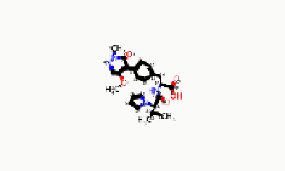 COc1cnn(C)c(=O)c1-c1ccc(C[C@H](NC(=O)[C@@H](C(C)C)n2cccc2)C(=O)O)cc1